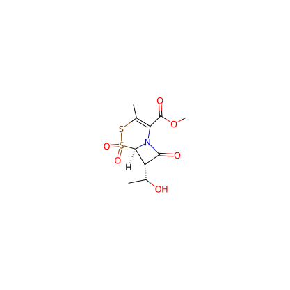 COC(=O)C1=C(C)SS(=O)(=O)[C@@H]2[C@@H](C(C)O)C(=O)N12